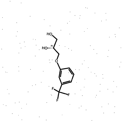 OC[C@@H](O)COc1cccc(C(F)(F)F)c1